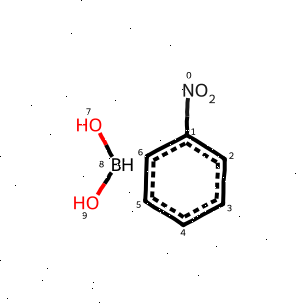 O=[N+]([O-])c1ccccc1.OBO